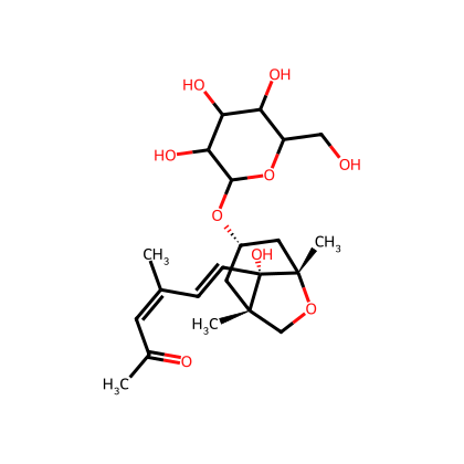 CC(=O)/C=C(C)\C=C\[C@]1(O)[C@]2(C)CO[C@@]1(C)C[C@@H](OC1OC(CO)C(O)C(O)C1O)C2